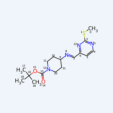 CSc1nccc(C=NC2CCN(C(=O)OC(C)(C)C)CC2)n1